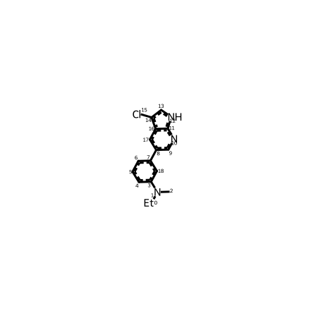 CCN(C)c1cccc(-c2cnc3[nH]cc(Cl)c3c2)c1